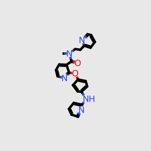 CN(CCc1ccccn1)C(=O)c1cccnc1Oc1ccc(Nc2ccccn2)cc1